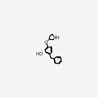 Cl.c1ccc(Cc2ccc(O[C@H]3CCNC3)cc2)cc1